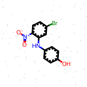 O=[N+]([O-])c1ccc(Br)cc1Nc1ccc(O)cc1